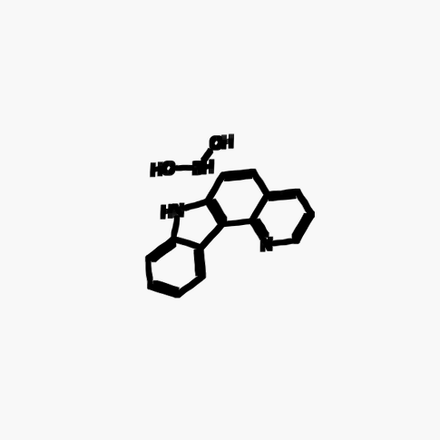 OBO.c1cnc2c(c1)ccc1[nH]c3ccccc3c12